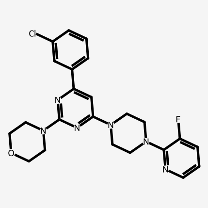 Fc1cccnc1N1CCN(c2cc(-c3cccc(Cl)c3)nc(N3CCOCC3)n2)CC1